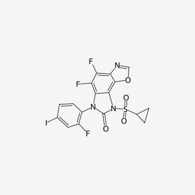 O=c1n(-c2ccc(I)cc2F)c2c(F)c(F)c3ncoc3c2n1S(=O)(=O)C1CC1